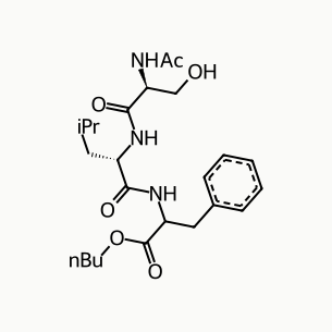 CCCCOC(=O)C(Cc1ccccc1)NC(=O)[C@H](CC(C)C)NC(=O)[C@H](CO)NC(C)=O